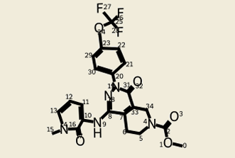 COC(=O)N1CCc2c(Nc3cccn(C)c3=O)nn(-c3ccc(OC(F)(F)F)cc3)c(=O)c2C1